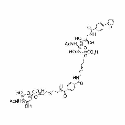 CC(=O)N[C@H]1[C@H]([C@H](O)[C@H](O)CNC(=O)c2ccc(-c3cccs3)cc2)O[C@@](OCCCSCCNC(=O)c2ccc(C(=O)NCCSCCCO[C@]3(C(=O)O)C[C@H](O)[C@@H](NC(C)=O)[C@H](O)O3)cc2)(C(=O)O)C[C@@H]1O